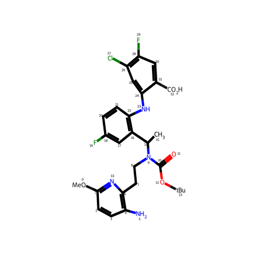 COc1ccc(N)c(CCN(C(=O)OC(C)(C)C)C(C)c2cc(F)ccc2Nc2cc(Cl)c(F)cc2C(=O)O)n1